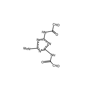 CNc1nc(NC(=O)C=O)nc(NC(=O)C=O)n1